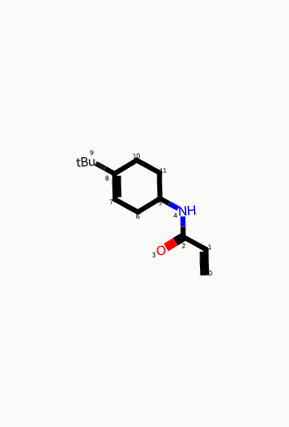 C=CC(=O)NC1CC=C(C(C)(C)C)CC1